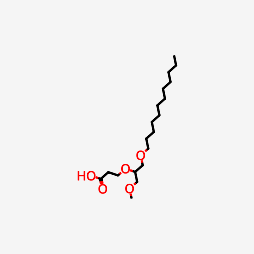 CCCCCCCCCCCCOCC(COC)OCCC(=O)O